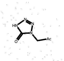 CC(=O)Cn1nn[nH]c1=O